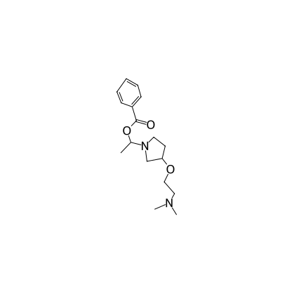 CC(OC(=O)c1ccccc1)N1CCC(OCCN(C)C)C1